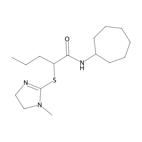 CCCC(SC1=NCCN1C)C(=O)NC1CCCCCC1